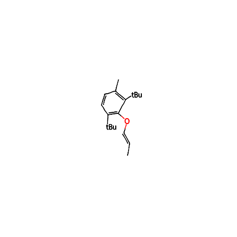 CC=COc1c(C(C)(C)C)ccc(C)c1C(C)(C)C